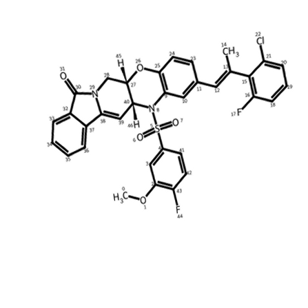 COc1cc(S(=O)(=O)N2c3cc(/C=C(\C)c4c(F)cccc4Cl)ccc3O[C@H]3CN4C(=O)c5ccccc5C4=C[C@H]32)ccc1F